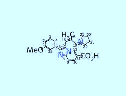 COc1cccc(-c2nc3ccc(C(=O)O)cn3c2CC(C)CN2CCCC2)c1